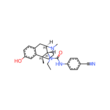 CCN(C(=O)Nc1ccc(C#N)cc1)[C@H]1[C@H]2Cc3ccc(O)cc3[C@@]1(C)CCN2C